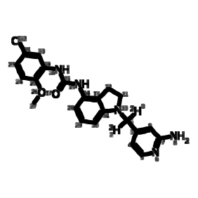 [2H]C([2H])(c1ccnc(N)c1)N1CCc2c(NC(=O)Nc3cc(Cl)ccc3OC)cccc21